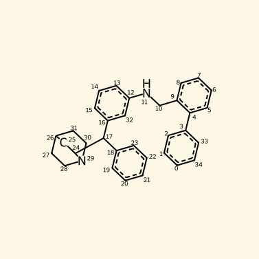 c1ccc(-c2ccccc2CNc2cccc(C(c3ccccc3)C3CC4CCN3CC4)c2)cc1